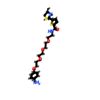 C[C@@H]1CSC(c2ccc(C(=O)NCCOCCOCCOCCOc3ccc(N)cc3)s2)=N1